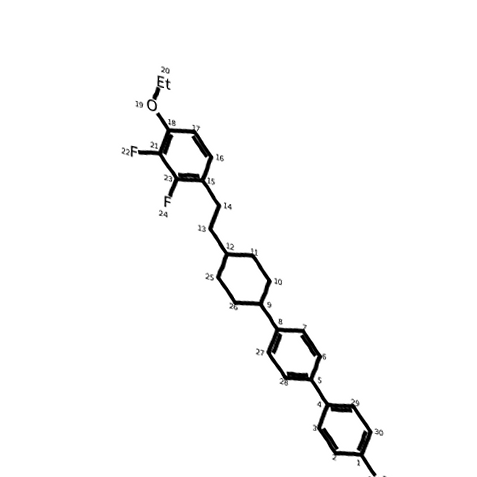 CCCCCc1ccc(-c2ccc(C3CCC(CCc4ccc(OCC)c(F)c4F)CC3)cc2)cc1